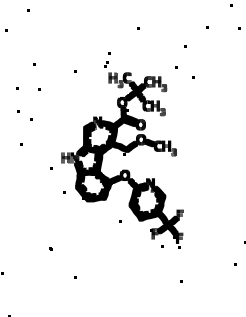 COCc1c(C(=O)OC(C)(C)C)ncc2[nH]c3cccc(Oc4ccc(C(F)(F)F)cn4)c3c12